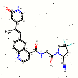 C/C(=C\c1ccc2nccc(C(=O)NCC(=O)N3CC(F)(F)CC3C#N)c2c1)c1cc[nH]c(=O)c1